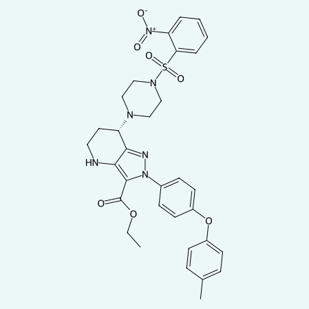 CCOC(=O)c1c2c(nn1-c1ccc(Oc3ccc(C)cc3)cc1)[C@@H](N1CCN(S(=O)(=O)c3ccccc3[N+](=O)[O-])CC1)CCN2